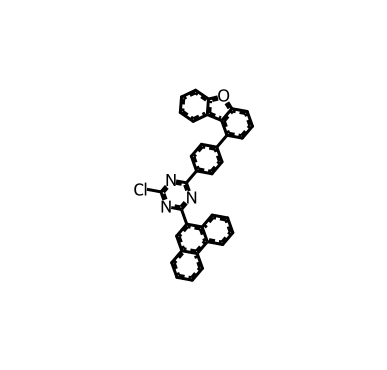 Clc1nc(-c2ccc(-c3cccc4oc5ccccc5c34)cc2)nc(-c2cc3ccccc3c3ccccc23)n1